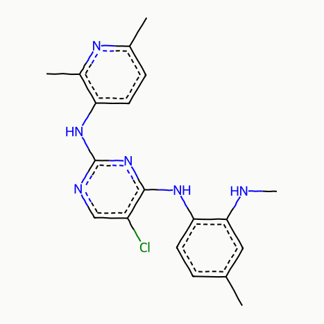 CNc1cc(C)ccc1Nc1nc(Nc2ccc(C)nc2C)ncc1Cl